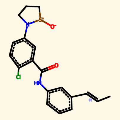 C/C=C/c1cccc(NC(=O)c2cc(N3CCC[S+]3[O-])ccc2Cl)c1